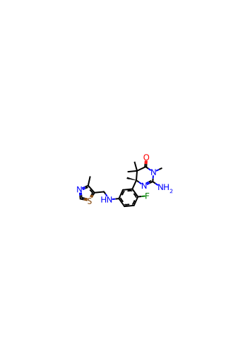 Cc1ncsc1CNc1ccc(F)c([C@@]2(C)N=C(N)N(C)C(=O)C2(C)C)c1